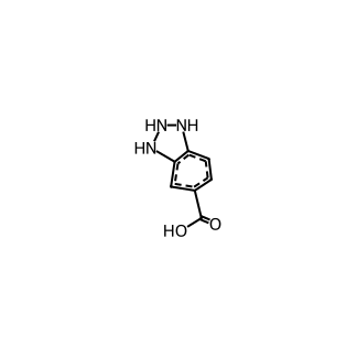 O=C(O)c1ccc2c(c1)NNN2